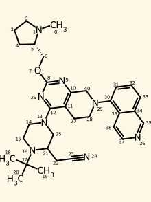 CN1CCC[C@H]1COc1nc2c(c(N3CCN(C(C)(C)C)C(CC#N)C3)n1)CCN(c1cccc3cnccc13)C2